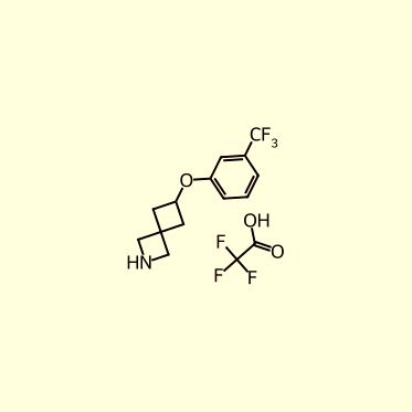 FC(F)(F)c1cccc(OC2CC3(CNC3)C2)c1.O=C(O)C(F)(F)F